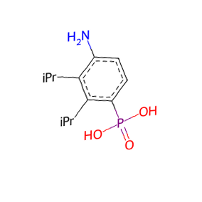 CC(C)c1c(N)ccc(P(=O)(O)O)c1C(C)C